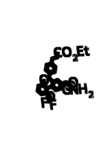 CCOC(=O)CCc1ccc(C2Oc3cccc(OC(F)F)c3-c3ccc(CS(N)(=O)=O)cc32)cc1